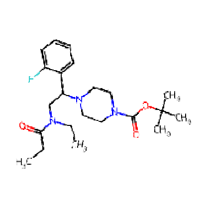 CCC(=O)N(CC)CC(c1ccccc1F)N1CCN(C(=O)OC(C)(C)C)CC1